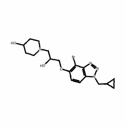 OC1CCN(CC(O)COc2ccc3c(nnn3CC3CC3)c2Br)CC1